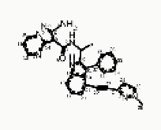 CC(NC(=O)c1c(N)nn2cccnc12)c1[nH]c2cccc(C#Cc3ccn(C)n3)c2c1-c1ccccc1